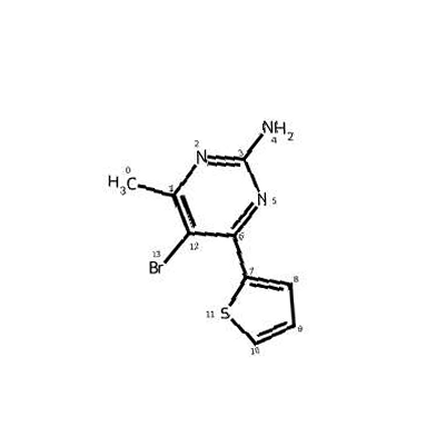 Cc1nc(N)nc(-c2cccs2)c1Br